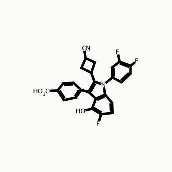 N#CC1CC(c2c(-c3ccc(C(=O)O)cc3)c3c(O)c(F)ccc3n2-c2ccc(F)c(F)c2)C1